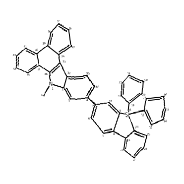 Cn1c2cc(-c3ccc4c(c3)[Si](c3ccccc3)(c3ccccc3)c3ccccc3-4)ccc2c2c3ccccc3c3ccccc3c21